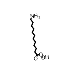 NCCCCCCCCCCCC(=O)OO